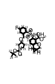 COC(O)c1c(NS(=O)(=O)c2ccc(F)cc2CO[C@H]2CCN(C(=O)OC(C)(C)C)C2)ccc2c1OC[C@@H]1C[C@H]21